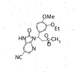 CCOc1cc(C(CS(C)(=O)=O)n2c(=O)[nH]c3cc(C#N)cnc32)ccc1OC